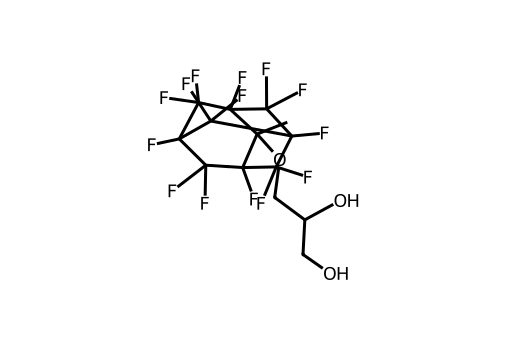 CC1(OCC(O)CO)C2(F)C(F)(F)C3(F)C(F)(F)C(F)(C2(F)F)C(F)(F)C1(F)C3(F)F